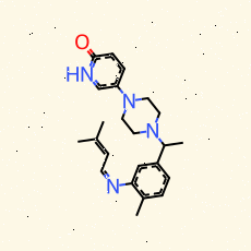 CC(C)=C/C=N\c1cc(C(C)N2CCN(c3ccc(=O)[nH]c3)CC2)ccc1C